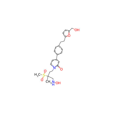 CC(CCn1ccc(-c2ccc(CCc3ccc(CO)o3)cc2)cc1=O)(CNO)S(C)(=O)=O